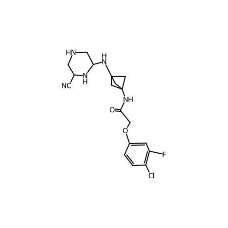 N#CC1CNCC(NC23CC(NC(=O)COc4ccc(Cl)c(F)c4)(C2)C3)N1